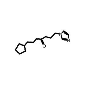 O=C(CCCC1CCCC1)CCCn1ccnc1